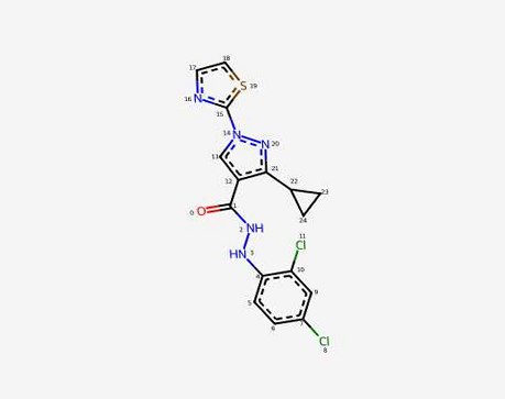 O=C(NNc1ccc(Cl)cc1Cl)c1cn(-c2nccs2)nc1C1CC1